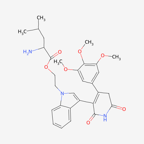 COc1cc(C2=C(c3cn(CCOC(=O)C(N)CC(C)C)c4ccccc34)C(=O)NC(=O)C2)cc(OC)c1OC